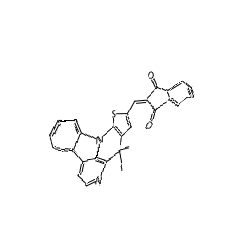 CC1(C)c2cc(C=C3C(=O)c4ccccc4C3=O)sc2-n2c3ccccc3c3ccnc1c32